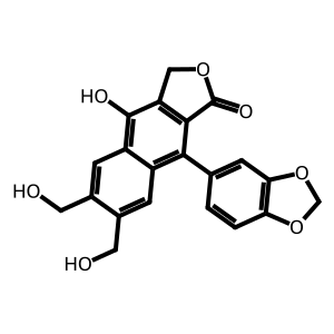 O=C1OCc2c1c(-c1ccc3c(c1)OCO3)c1cc(CO)c(CO)cc1c2O